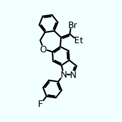 CC/C(Br)=C1/c2ccccc2COc2cc3c(cnn3-c3ccc(F)cc3)cc21